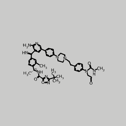 CNC(=O)N(CC=O)c1ccc(CCN2CCN(c3ccc(-c4cnc(N)c(C(=N)c5ccc([C@@H](C)NC(=O)c6nc(C(C)(C)C)no6)c(C)c5)c4)cc3)CC2)cc1